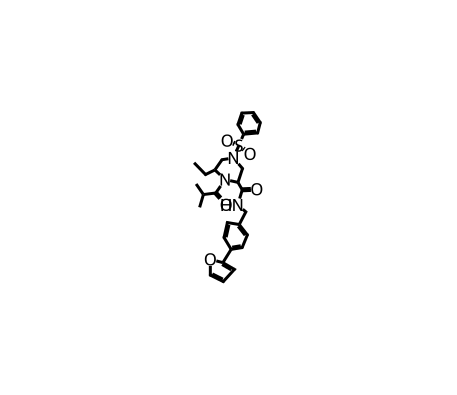 CCC1CN(S(=O)(=O)c2ccccc2)CC(C(=O)NCc2ccc(-c3ccco3)cc2)N1C(=O)C(C)C